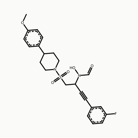 COc1ccc(C2CCN(S(=O)(=O)CC(C#Cc3cccc(F)c3)N(O)C=O)CC2)cc1